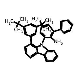 CC(C)(C)c1cc(-c2cccc3c4ccccc4n(-c4cccc(-c5ccccc5)c4N)c23)cc(C(C)(C)C)c1